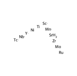 [Mn].[Mo].[Nb].[Ni].[Ru].[Sc].[SrH2].[Tc].[Ti].[Y].[Zr]